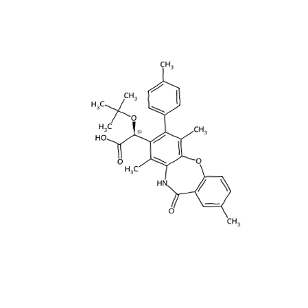 Cc1ccc(-c2c(C)c3c(c(C)c2[C@H](OC(C)(C)C)C(=O)O)NC(=O)c2cc(C)ccc2O3)cc1